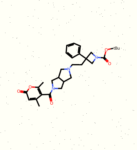 Cc1cc(=O)oc(C)c1C(=O)N1CC2CN(CCC3(c4ccccc4)CN(C(=O)OC(C)(C)C)C3)CC2C1